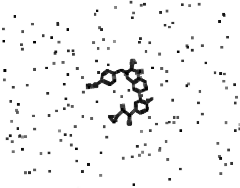 COc1ccc(CN2Cc3cc(-c4cc(C(=O)NC5CC5)ccc4C)ccc3NC2=O)cc1